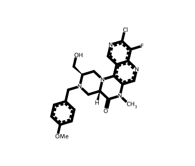 COc1ccc(CN2C[C@H]3C(=O)N(C)c4cnc5c(F)c(Cl)ncc5c4N3C[C@@H]2CO)cc1